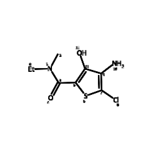 CCN(C)C(=O)c1sc(Cl)c(N)c1O